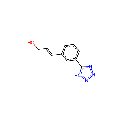 OCC=Cc1cccc(-c2nnn[nH]2)c1